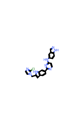 Clc1nccn1Cc1cc2ccc(-c3nccc(Nc4ccc5[nH]ncc5c4)n3)cc2[nH]1